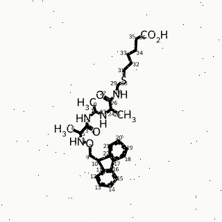 CC(NC(=O)C(C)NOCC1c2ccccc2-c2ccccc21)NC(C)C(=O)NCSCCCCCC(=O)O